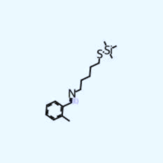 Cc1ccccc1/C=N/CCCCCS[Si](C)(C)C